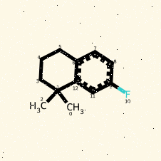 CC1(C)CCCc2ccc(F)cc21